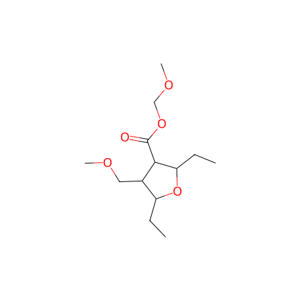 CCC1OC(CC)C(C(=O)OCOC)C1COC